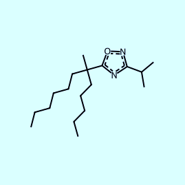 CCCCCCC(C)(CCCCC)c1nc(C(C)C)no1